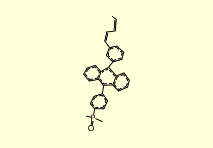 C/C=C\C=C/c1cccc(-c2c3ccccc3c(-c3ccc(P(C)(C)=O)cc3)c3ccccc23)c1